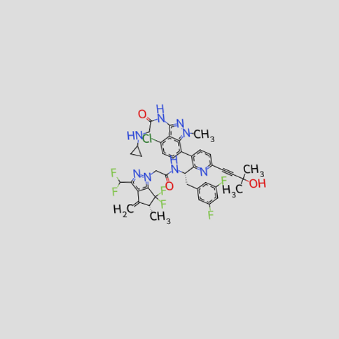 C=C1c2c(C(F)F)nn(CC(=O)N[C@@H](Cc3cc(F)cc(F)c3)c3nc(C#CC(C)(C)O)ccc3-c3ccc(Cl)c4c(NC(=O)CNC5CC5)nn(C)c34)c2C(F)(F)[C@@H]1C